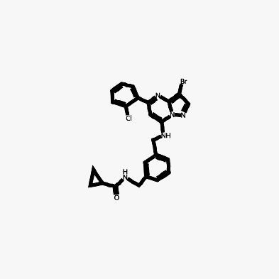 O=C(NCc1cccc(CNc2cc(-c3ccccc3Cl)nc3c(Br)cnn23)c1)C1CC1